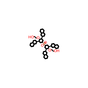 O=S(=O)(c1cc(-c2ccc3ccccc3c2)c(OCCO)c(-c2ccc3ccccc3c2)c1)c1cc(-c2ccc3ccccc3c2)c(OCCO)c(-c2ccc3ccccc3c2)c1